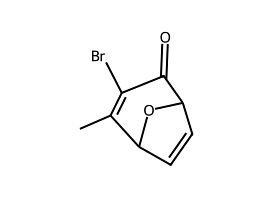 CC1=C(Br)C(=O)C2C=CC1O2